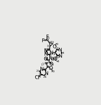 COc1ncnc(OC)c1-n1c(NS(=O)(=O)[C@@H](C)[C@H](OC)c2ncc(Cl)cn2)nnc1C1CC1C(F)F